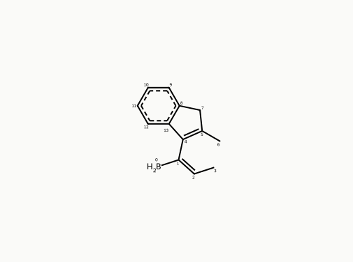 B/C(=C/C)C1=C(C)Cc2ccccc21